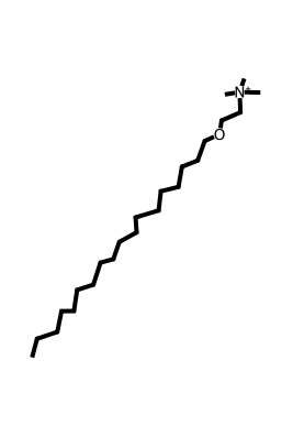 CCCCCCCCCCCCCCCCCCOCC[N+](C)(C)C